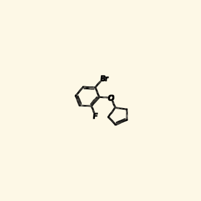 Fc1cccc(Br)c1OC1CC=CC1